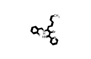 C/C=C\C=C/C/C(NCc1ccccc1F)=C(\Br)C(=N)c1ccccn1